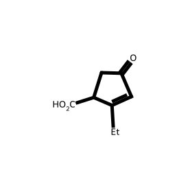 CCC1=CC(=O)CC1C(=O)O